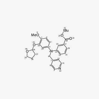 COc1ccc(N(Cc2ccncc2)c2cccc(C(=O)OC(C)(C)C)c2)cc1OC1CCCO1